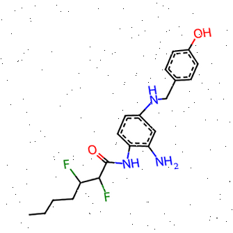 CCCCC(F)C(F)C(=O)Nc1ccc(NCc2ccc(O)cc2)cc1N